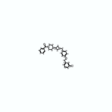 O=C(c1ccccc1)N1CCN(C2CN(Cc3ccc(OCc4cncc(Cl)c4)cc3)C2)CC1